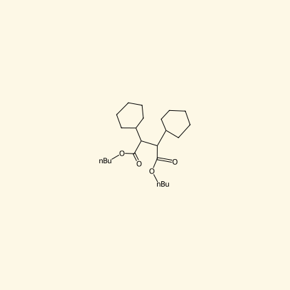 CCCCOC(=O)C(C1CCCCC1)C(C(=O)OCCCC)C1CCCCC1